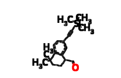 CC1(C)CCC(C=O)c2cc(C#C[Si](C)(C)C)ccc21